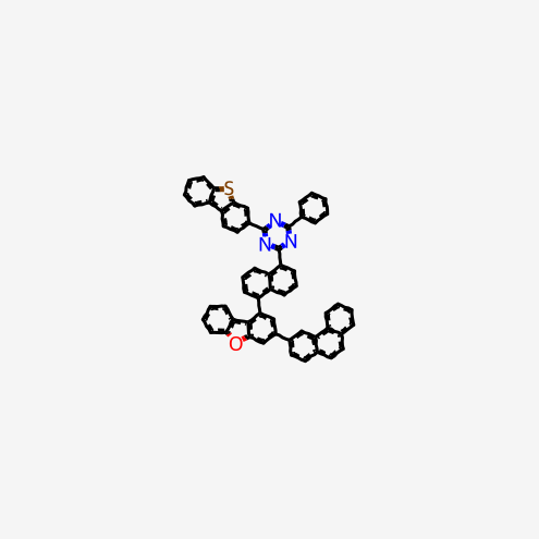 c1ccc(-c2nc(-c3ccc4c(c3)sc3ccccc34)nc(-c3cccc4c(-c5cc(-c6ccc7ccc8ccccc8c7c6)cc6oc7ccccc7c56)cccc34)n2)cc1